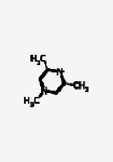 C[C@@H]1CN(C)C[C@H](C)[N]1